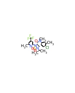 Cc1cc(C(F)(F)F)cc(N2[C@H](C(=O)N(C)c3ccc(Cl)c(C)c3)CN(C(C)C)S2(=O)=O)n1